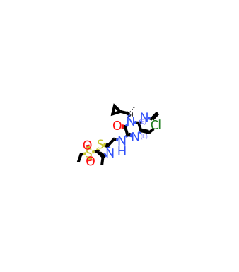 C=C(Cl)/N=C1\C(=C/C)N=C(NCc2nc(C)c(S(=O)(=O)CC)s2)C(=O)N1[C@@H](C)C1CC1